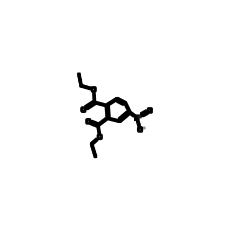 CCOC(=O)c1ccc([N+](=O)[O-])cc1C(=O)OCC